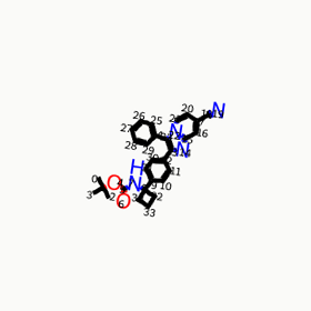 CC(C)(C)OC(=O)NC1(c2ccc(-c3nc4cc(C#N)ccn4c3-c3ccccc3)cc2)CCC1